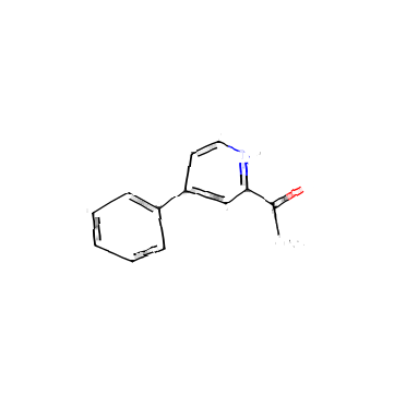 COC(=O)c1cc(-c2ccccc2)ccn1